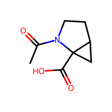 CC(=O)N1CCC2CC21C(=O)O